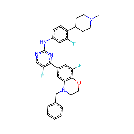 CN1CCC(c2ccc(Nc3ncc(F)c(-c4cc(F)c5c(c4)N(Cc4ccccc4)CCO5)n3)cc2F)CC1